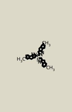 Cc1ccc2c(c1)Cc1cc(P(c3cc4c(nn3)-c3ccc(C)cc3C4)c3cc4c(nn3)-c3ccc(C)cc3C4)nnc1-2